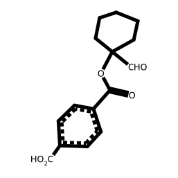 O=CC1(OC(=O)c2ccc(C(=O)O)cc2)CCCCC1